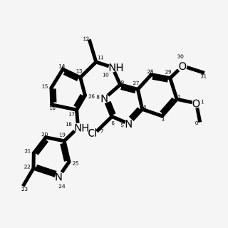 COc1cc2nc(Cl)nc(NC(C)c3cccc(Nc4ccc(C)nc4)c3)c2cc1OC